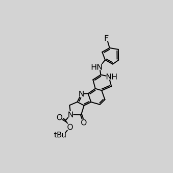 CC(C)(C)OC(=O)N1Cc2nc3c(ccc4c[nH]c(Nc5cccc(F)c5)cc43)c2C1=O